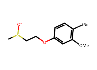 COc1cc(OCC[S+](C)[O-])ccc1C(C)(C)C